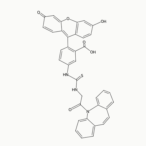 O=C(O)c1cc(NC(=S)NCC(=O)N2c3ccccc3C=Cc3ccccc32)ccc1-c1c2ccc(=O)cc-2oc2cc(O)ccc12